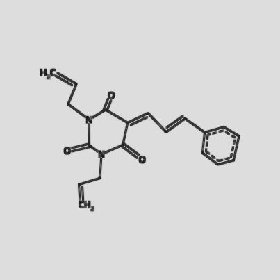 C=CCN1C(=O)C(=CC=Cc2ccccc2)C(=O)N(CC=C)C1=O